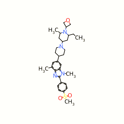 CCC1CC(N2CCC(c3cc(C)c4nc(-c5ccc(S(C)(=O)=O)cc5)n(C)c4c3)CC2)CC(C)N1C1COC1